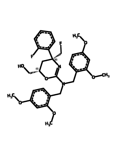 COc1ccc(CN(Cc2ccc(OC)cc2OC)C2=N[C@](CF)(c3ccccc3F)C[C@@H](CO)O2)c(OC)c1